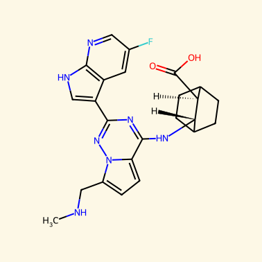 CNCc1ccc2c(N[C@H]3C4CCC(CC4)[C@@H]3C(=O)O)nc(-c3c[nH]c4ncc(F)cc34)nn12